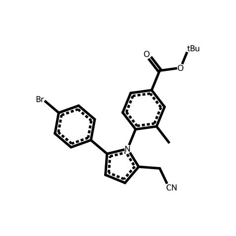 Cc1cc(C(=O)OC(C)(C)C)ccc1-n1c(CC#N)ccc1-c1ccc(Br)cc1